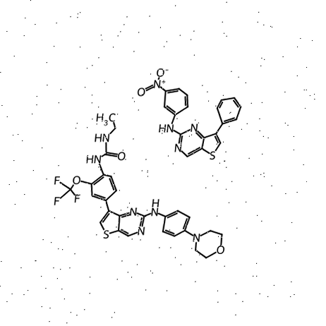 CCNC(=O)Nc1ccc(-c2csc3cnc(Nc4ccc(N5CCOCC5)cc4)nc23)cc1OC(F)(F)F.O=[N+]([O-])c1cccc(Nc2ncc3scc(-c4ccccc4)c3n2)c1